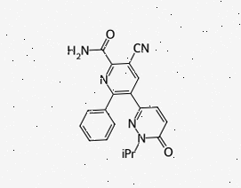 CC(C)n1nc(-c2cc(C#N)c(C(N)=O)nc2-c2ccccc2)ccc1=O